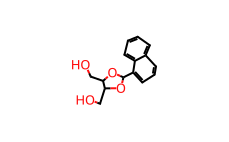 OCC1OC(c2cccc3ccccc23)OC1CO